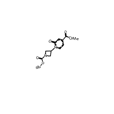 COC(=O)c1ccn(C2CN(C(=O)OC(C)(C)C)C2)c(=O)c1